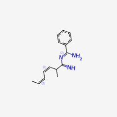 C/C=C\C=C/C(C)C(=N)/N=C(\N)c1ccccc1